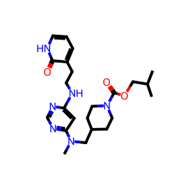 CC(C)COC(=O)N1CCC(CN(C)c2cc(NCCc3ccc[nH]c3=O)ncn2)CC1